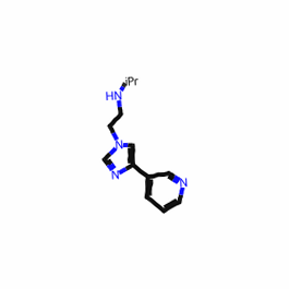 CC(C)NCCn1cnc(-c2cccnc2)c1